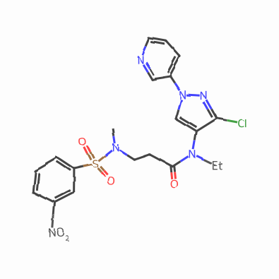 CCN(C(=O)CCN(C)S(=O)(=O)c1cccc([N+](=O)[O-])c1)c1cn(-c2cccnc2)nc1Cl